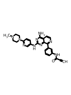 C#CC(=O)Nc1cccc(-c2nccc3c(N)nc(Nc4ccc(N5CCN(C)CC5)nc4)nc23)c1